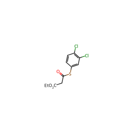 CCOC(=O)CC(=O)Sc1ccc(Cl)c(Cl)c1